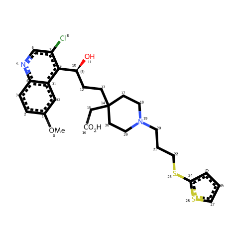 COc1ccc2ncc(Cl)c([C@@H](O)CCC3(CC(=O)O)CCN(CCCSc4cccs4)CC3)c2c1